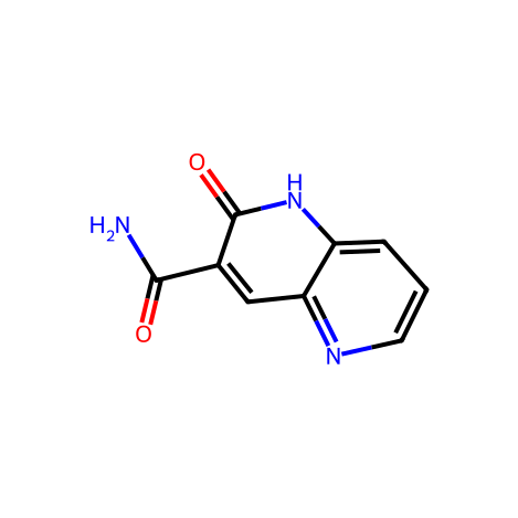 NC(=O)c1cc2ncccc2[nH]c1=O